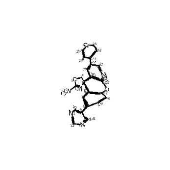 NC1=N[C@@]2(CO1)c1cc(-c3cncnc3)ccc1Oc1ncc(C3=CCOCC3)cc12